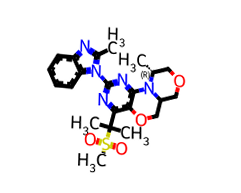 Cc1nc2ccccc2n1-c1nc2c(c(C(C)(C)S(C)(=O)=O)n1)OCC1COC[C@@H](C)N21